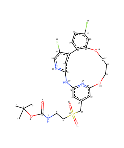 CC(C)(C)OC(=O)NCCS(=O)(=O)Cc1cc2nc(c1)OCCCOc1cc(F)ccc1-c1cc(ncc1F)N2